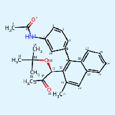 CC(=O)Nc1cccc(-c2c([C@H](OC(C)(C)C)C(C)=O)c(C)cc3ccccc23)c1